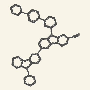 N#Cc1ccc2c3cc(-c4ccc5c(c4)c4ccccc4n5-c4ccccc4)ccc3n(-c3cccc(-c4ccc(-c5ccccc5)cc4)c3)c2c1